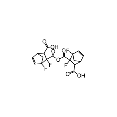 O=C(O)C1C2C=CC(F)(C2)C1(F)C(=O)OC(=O)C1(F)C(C(=O)O)C2C=CC1(F)C2